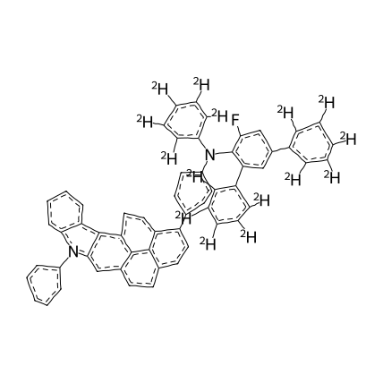 [2H]c1c([2H])c([2H])c(-c2cc(F)c(N(c3ccc(-c4ccc5ccc6cc7c(c8ccc4c5c68)c4ccccc4n7-c4ccccc4)cc3)c3c([2H])c([2H])c([2H])c([2H])c3[2H])c(-c3c([2H])c([2H])c([2H])c([2H])c3[2H])c2)c([2H])c1[2H]